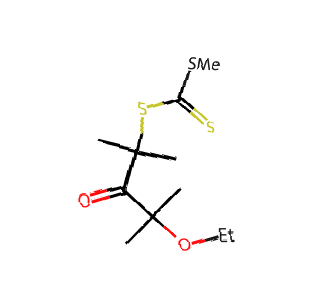 CCOC(C)(C)C(=O)C(C)(C)SC(=S)SC